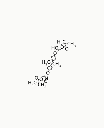 C=C(C)C(=O)OCC(O)COc1ccc(C(C)(C)c2ccc(OCC(COC(=O)C(=C)C)N=O)cc2)cc1